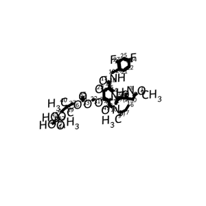 COC1=NO[C@@]2(CC[C@H](C)N3C[C@H]2n2cc(C(=O)NCc4ccc(F)cc4F)c(=O)c(OCOC(=O)OCC(C)(C)COP(=O)(O)O)c2C3=O)C1